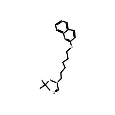 CC(C)(C)ON(C=O)CCCCCCOc1ccc2ccccc2n1